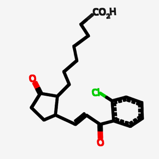 O=C(O)CCCCCCC1C(=O)CCC1/C=C/C(=O)c1ccccc1Cl